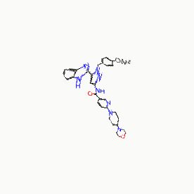 COc1ccc(Cn2nc(NC(=O)c3ccc(N4CCC(N5CCOCC5)CC4)nc3)cc2-c2nc3ccccc3[nH]2)cc1